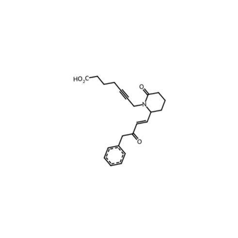 O=C(O)CCCC#CCN1C(=O)CCCC1C=CC(=O)Cc1ccccc1